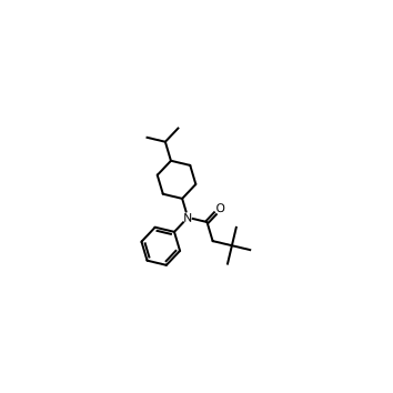 CC(C)C1CCC(N(C(=O)CC(C)(C)C)c2ccccc2)CC1